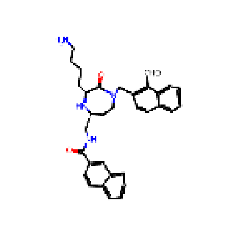 NCCCC[C@@H]1N[C@H](CNC(=O)c2ccc3ccccc3c2)CCN(Cc2ccc3ccccc3c2C=O)C1=O